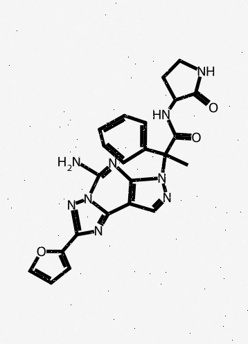 CC(C(=O)NC1CCNC1=O)(c1ccccc1)n1ncc2c1nc(N)n1nc(-c3ccco3)nc21